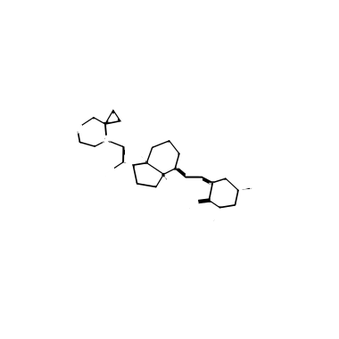 C=C1C(=CC=C2CCC[C@]3(C)[C@@H](C(C)CN4CCOCC45CC5)CC[C@@H]23)C[C@@H](O)C[C@@H]1O